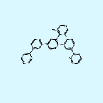 Cc1cccc(C)c1-c1cc(-c2cccc(-c3ccccc3)c2)ccc1-c1cccc(-c2ccccn2)c1